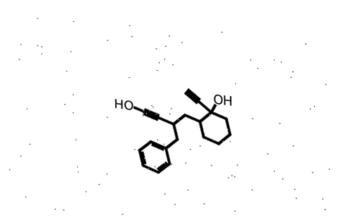 C#CC1(O)CCCCC1CC(C#CO)Cc1ccccc1